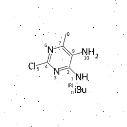 CC[C@@H](C)Nc1nc(Cl)nc(C)c1N